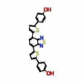 Oc1ccc(-c2ccc(-c3ccc(-c4ccc(-c5ccc(O)cc5)s4)c4nsnc34)s2)cc1